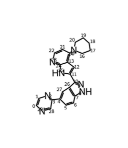 c1cnc(-c2ccc3[nH]nc(-c4cc5c(N6CCCCC6)ccnc5[nH]4)c3c2)cn1